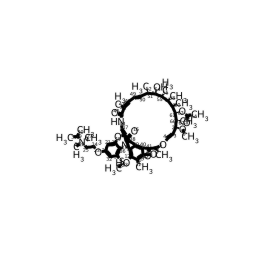 CO[C@H]1/C=C/O[C@@]2(C)Oc3c(C)c(O)c4c(=O)c(c5oc6cc(OCC[N+](C)(C)C(C)C)cc(SC)c6nc-5c4c3C2=O)NC(=O)/C(C)=C\C=C\[C@H](C)[C@H](O)[C@@H](C)[C@@H](C)[C@@H](C)[C@H](OC(C)=O)[C@@H]1C